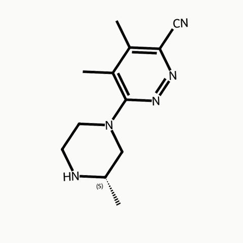 Cc1c(C#N)nnc(N2CCN[C@@H](C)C2)c1C